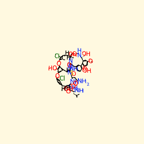 CN[C@H](CC(C)C)C(=O)N[C@H]1C(=O)NC(CC(N)=O)C(=O)N[C@H]2C(=S)NC3C(=O)N[C@H](COCN[C@H](CO)c4cc(OC)cc(OC)c4-c4cc3ccc4O)[C@H](O)C3C=C(Cl)C(=CC3)Oc3cc2cc(c3O)Oc2ccc(cc2Cl)[C@H]1O